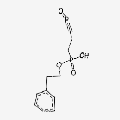 O=P#CCCP(=O)(O)OCCc1ccccc1